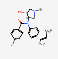 CCN1C[C@@H](O)[C@H](N(C(=O)c2ccc(Cl)cc2)c2ccccc2)C1.O=C(O)C=CC(=O)O